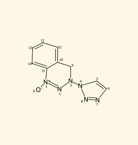 [O-][N+]1=NN(n2ccnn2)Cc2ccccc21